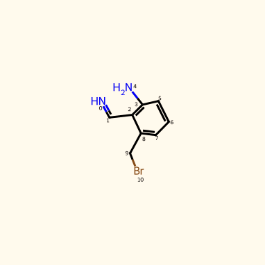 N=Cc1c(N)cccc1CBr